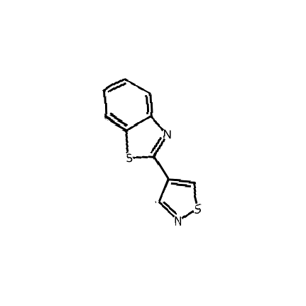 [c]1nscc1-c1nc2ccccc2s1